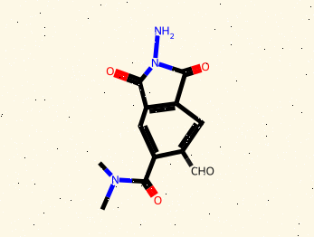 CN(C)C(=O)c1cc2c(cc1C=O)C(=O)N(N)C2=O